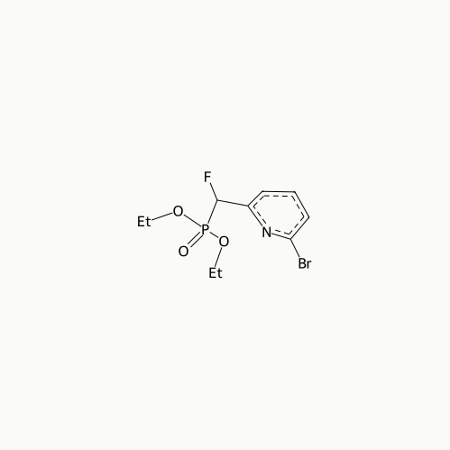 CCOP(=O)(OCC)C(F)c1cccc(Br)n1